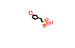 O=C1C=CC(CCS(=O)(=O)O)C1